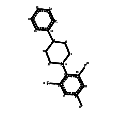 Cc1cc(F)c(N2CCC(c3ccccc3)CC2)c(F)c1